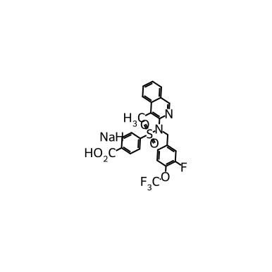 Cc1c(N(Cc2ccc(OC(F)(F)F)c(F)c2)S(=O)(=O)c2ccc(C(=O)O)cc2)ncc2ccccc12.[NaH]